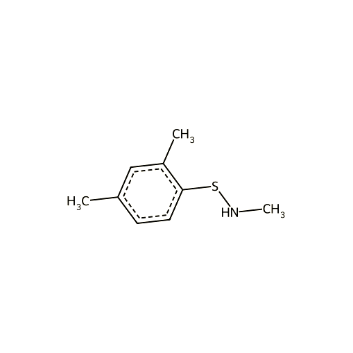 CNSc1ccc(C)cc1C